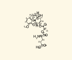 COc1ccc2c3c1O[C@@H]1C(OC(=O)[C@H](C)OC(=O)[C@@H](N)CCC(=O)O)=CC[C@]4(O)[C@@H](CCC[C@@]314)C2